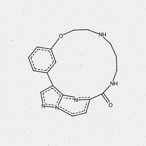 O=C1NCCCNCCOc2cccc(c2)-c2cnn3ccc1nc23